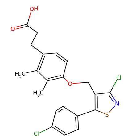 Cc1c(CCC(=O)O)ccc(OCc2c(Cl)nsc2-c2ccc(Cl)cc2)c1C